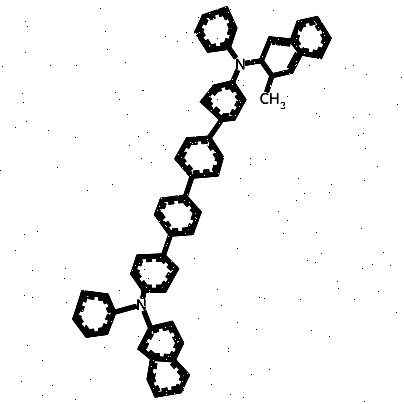 CC1C=c2ccccc2=CC1N(c1ccccc1)c1ccc(-c2ccc(-c3ccc(-c4ccc(N(c5ccccc5)c5ccc6ccccc6c5)cc4)cc3)cc2)cc1